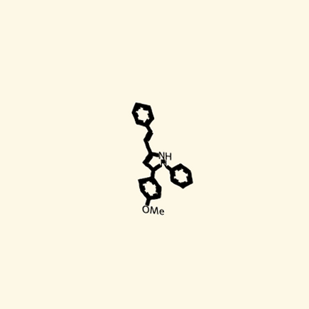 COc1ccc(C2C=C(C=Cc3ccccc3)NN2c2ccccc2)cc1